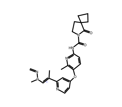 C=NN(C)/C=C(\C)c1cc(Oc2ccc(NC(=O)N3CCC4(CCC4)C3=O)nc2C)ccn1